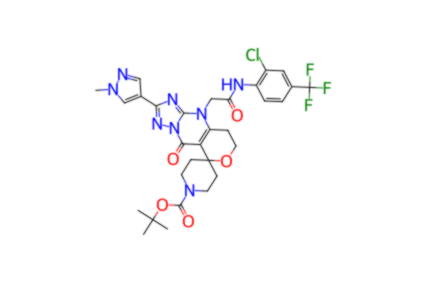 Cn1cc(-c2nc3n(CC(=O)Nc4ccc(C(F)(F)F)cc4Cl)c4c(c(=O)n3n2)C2(CCN(C(=O)OC(C)(C)C)CC2)OCC4)cn1